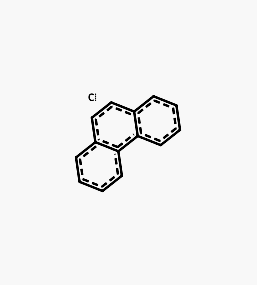 [C].c1ccc2c(c1)ccc1ccccc12